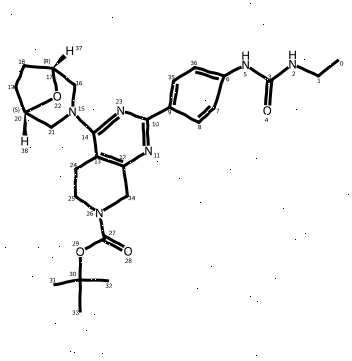 CCNC(=O)Nc1ccc(-c2nc3c(c(N4C[C@H]5CC[C@@H](C4)O5)n2)CCN(C(=O)OC(C)(C)C)C3)cc1